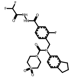 O=C(NNC(=O)C(F)F)c1ccc(CN(C(=O)N2CCS(=O)(=O)CC2)c2ccc3c(c2)CCC3)c(F)c1